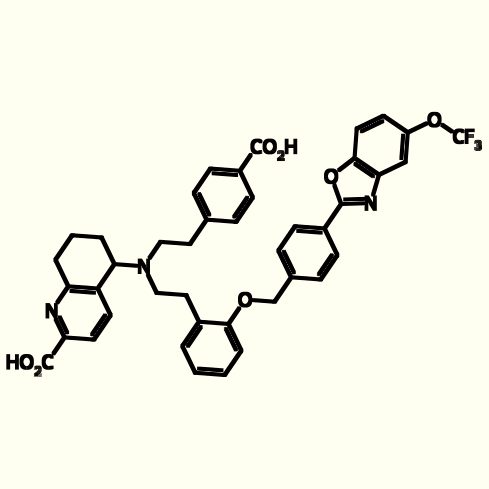 O=C(O)c1ccc(CCN(CCc2ccccc2OCc2ccc(-c3nc4cc(OC(F)(F)F)ccc4o3)cc2)C2CCCc3nc(C(=O)O)ccc32)cc1